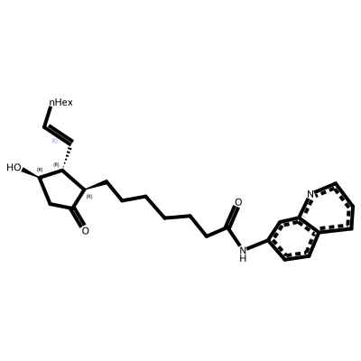 CCCCCC/C=C/[C@H]1[C@H](O)CC(=O)[C@@H]1CCCCCCC(=O)Nc1ccc2cccnc2c1